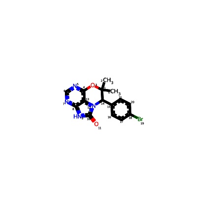 CC1(C)Oc2ncnc3[nH]c(=O)n(c23)C1c1ccc(Br)cc1